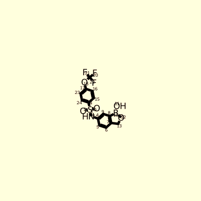 O=S(=O)(Nc1ccc2c(c1)B(O)OC2)c1ccc(OC(F)(F)F)cc1